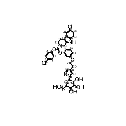 O=C(Oc1ccc(Cl)cc1)N1CCc2c([nH]c3ccc(Cl)cc23)[C@@H]1c1ccc(OCCc2cn(C3OC(CO)C(O)C(O)C3O)nn2)cc1